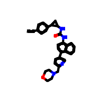 COc1ccc(C2CC2NC(=O)Nc2ccc(-c3ccc(CN4CCOCC4)nc3)c3ccccc23)cc1